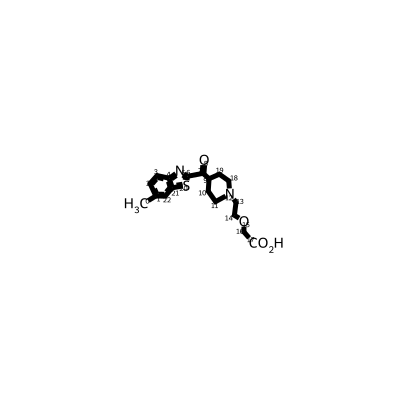 Cc1ccc2nc(C(=O)C3CCN(CCOCC(=O)O)CC3)sc2c1